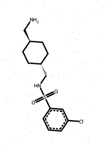 NC[C@H]1CC[C@H](CNS(=O)(=O)c2cccc(Cl)c2)CC1